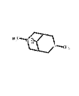 CN1CC2CN(C)CC(C1)C2O